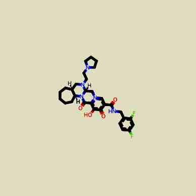 O=C(NCc1ccc(F)cc1F)c1cn2c(c(O)c1=O)C(=O)N1[C@H]3CCCCC[C@H]3CN(CCN3CCCC3)[C@@H]1C2